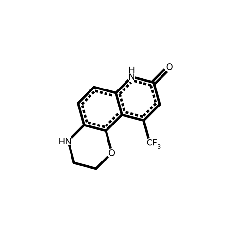 O=c1cc(C(F)(F)F)c2c3c(ccc2[nH]1)NCCO3